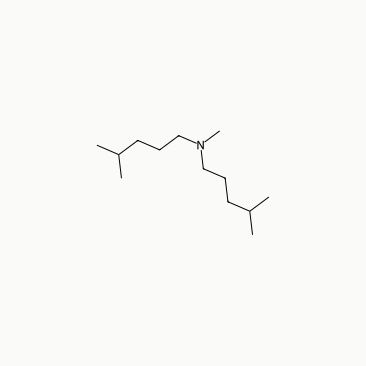 CC(C)CCCN(C)CCCC(C)C